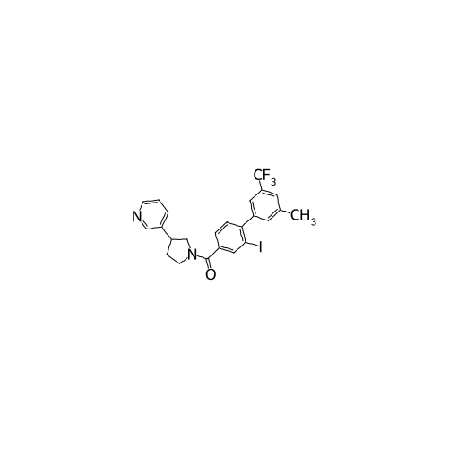 Cc1cc(-c2ccc(C(=O)N3CCC(c4cccnc4)C3)cc2I)cc(C(F)(F)F)c1